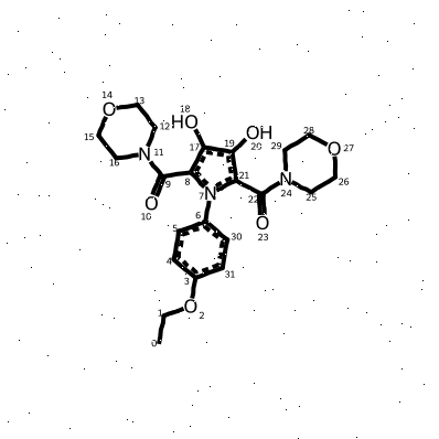 CCOc1ccc(-n2c(C(=O)N3CCOCC3)c(O)c(O)c2C(=O)N2CCOCC2)cc1